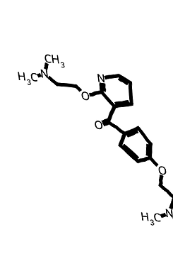 CN(C)CCOc1ccc(C(=O)c2cccnc2OCCN(C)C)cc1